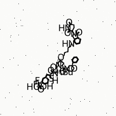 CC(C)(C)[C@H](NC(=O)c1cc2cc(C(F)(F)P(=O)(O)O)ccc2s1)C(=O)N1C[C@@H](OCCCCCNc2cccc3c2CN(C2CCC(=O)NC2=O)C3=O)C[C@H]1C(=O)N1CCOC(c2ccccc2)C1